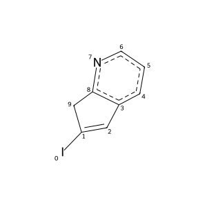 IC1=Cc2cccnc2C1